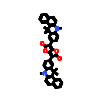 CN1c2ccc(C3=C4OC(=O)C(c5ccc6c(c5)C(C)(C)c5c(ccc7ccccc57)N6C)=C4OC3=O)cc2C(C)(C)c2c1ccc1ccccc21